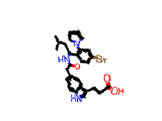 CC(C)CC(NC(=O)Cc1ccc2[nH]cc(CCC(=O)O)c2c1)c1ccc(Br)cc1N1CCCC1